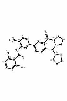 CC(Oc1nc(-c2cccc(C(=O)N3CCC[C@H]3CN3CCCC3)c2)cnc1N)c1c(Cl)cccc1Cl